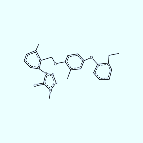 CCc1ccccc1Oc1ccc(OCc2c(C)cccc2-n2nnn(C)c2=O)c(C)c1